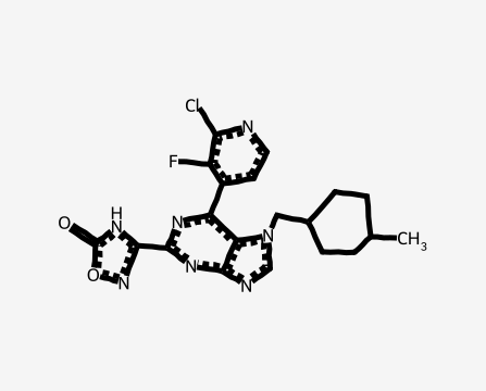 CC1CCC(Cn2cnc3nc(-c4noc(=O)[nH]4)nc(-c4ccnc(Cl)c4F)c32)CC1